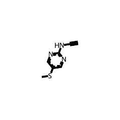 C#CNc1ncc(SC)cn1